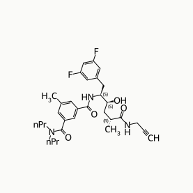 C#CCNC(=O)[C@H](C)C[C@H](O)[C@H](Cc1cc(F)cc(F)c1)NC(=O)c1cc(C)cc(C(=O)N(CCC)CCC)c1